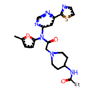 CCC(=O)NC1CCN(CC(=O)N(c2cc(-c3nccs3)ncn2)c2ccc(C)o2)CC1